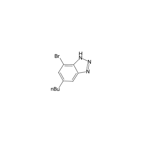 CCCCc1cc(Br)c2[nH]nnc2c1